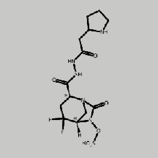 O=C(CC1CCCN1)NNC(=O)[C@@H]1CC(F)(F)[C@@H]2CN1C(=O)N2OS(=O)(=O)O